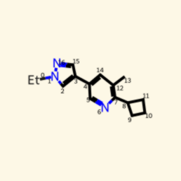 CCn1cc(-c2cnc(C3CCC3)c(C)c2)cn1